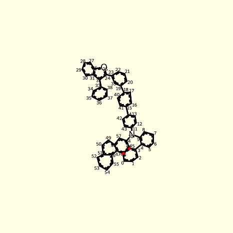 c1ccc(-c2ccccc2N(c2ccc(-c3ccc(-c4cccc(-c5oc6ccccc6c5-c5ccccc5)c4)cc3)cc2)c2ccc3c(ccc4ccccc43)c2)cc1